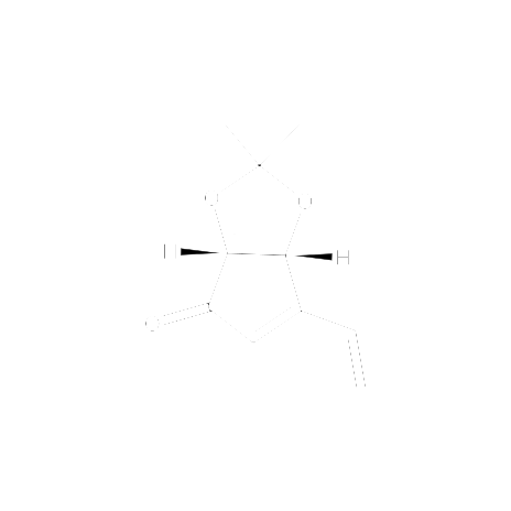 C=CC1=CC(=O)[C@@H]2OC(C)(C)O[C@H]12